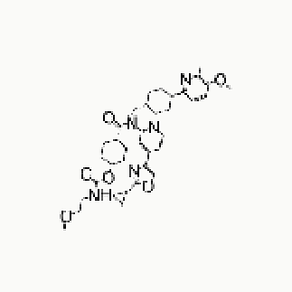 COCCNC(=O)O[C@H]1CC[C@H](C(=O)N(C[C@H]2CC[C@H](c3ccc(OC)c(C)n3)CC2)c2cc(-c3coc(C4CC4)n3)ccn2)CC1